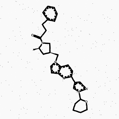 C[C@@H]1C[C@H](Cn2ccc3nc(-c4cnn(C5CCCCO5)c4)ccc32)CN1C(=O)CCc1ccccc1